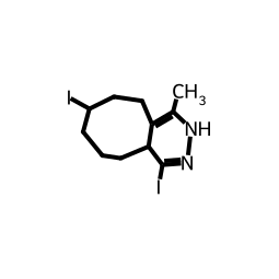 CC1=C2CCC(I)CCCC2C(I)=NN1